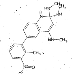 CNC1=CC(NC)(NC)Nc2ccc(-c3cccc([N+](=O)[O-])c3C)cc21